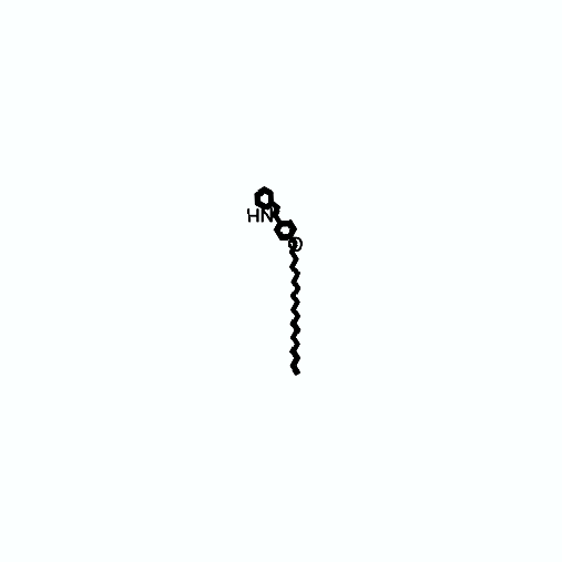 CCCCCCCCCCCCCCCCCCOc1ccc(-c2cc3ccccc3[nH]2)cc1